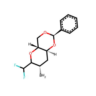 B[C@H]1C[C@@H]2O[C@H](c3ccccc3)OC[C@H]2OC1C(F)F